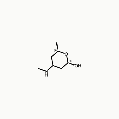 CNC1C[C@@H](C)O[C@@H](O)C1